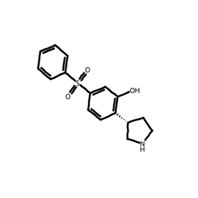 O=S(=O)(c1ccccc1)c1ccc([C@@H]2CCNC2)c(O)c1